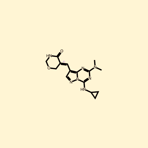 CN(C)c1nc(NC2CC2)n2ncc(/C=C3\COCNC3=O)c2n1